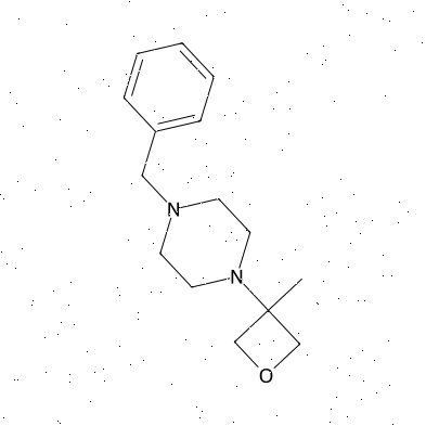 CC1(N2CCN(Cc3ccccc3)CC2)COC1